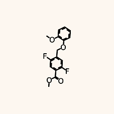 COC(=O)c1cc(F)c(COc2ccccc2OC)cc1F